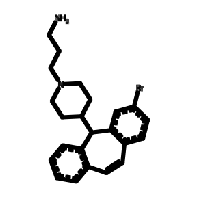 NCCCN1CCC(C2c3ccccc3C=Cc3ccc(Br)cc32)CC1